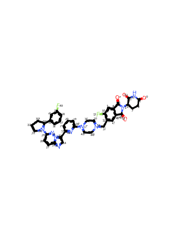 O=C1CCC(N2C(=O)c3cc(F)c(CN4CCN(c5cccc(-c6cnc7ccc(N8CCCC8c8cccc(F)c8)nn67)n5)CC4)cc3C2=O)C(=O)N1